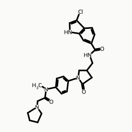 CN(C(=O)CN1CCCC1)c1ccc(N2CC(CNC(=O)c3ccc4c(Cl)c[nH]c4c3)CC2=O)cc1